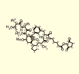 CCC(C)[C@@H]([C@@H](CC(=O)N1CCC[C@H]1[C@H](OC)[C@@H](C)C(=O)N[C@@H](Cc1cccc(C)c1)C(=O)NCCCCC(=O)ON1C(=O)CCC1=O)OC)N(C)C(=O)[C@@H](NC(=O)[C@H](C(C)C)N(C)C)C(C)C